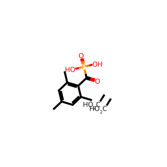 CC(=O)O.CC(=O)O.Cc1cc(C)c(C(=O)P(=O)(O)O)c(C)c1